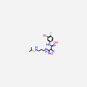 CC(C)SNCCCNc1nonc1/C(=N/O)Nc1ccc(F)c(Br)c1